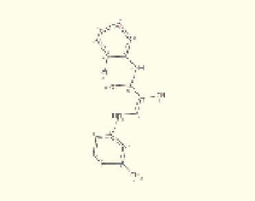 Cc1cccc(NC=C(C#N)C(=O)Nc2ccccc2Cl)c1